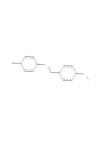 CCCCCCOc1ccc(C=Nc2ccc(C)cc2)cc1